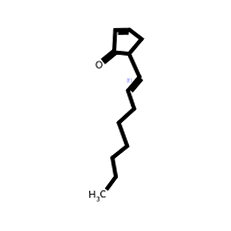 CCCCCC/C=C/C1CC=CC1=O